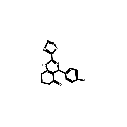 O=C1CCCC2=C1C(c1ccc(F)cc1)N=C(c1nccs1)N2